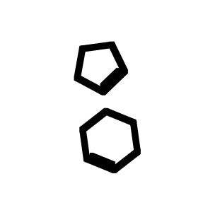 C1=CCCC1.C1=CCCCC1